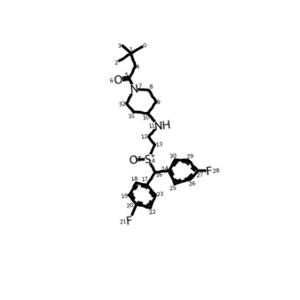 CC(C)(C)CC(=O)N1CCC(NCC[S+]([O-])C(c2ccc(F)cc2)c2ccc(F)cc2)CC1